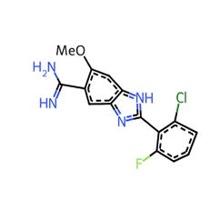 COc1cc2[nH]c(-c3c(F)cccc3Cl)nc2cc1C(=N)N